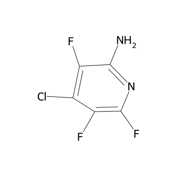 Nc1nc(F)c(F)c(Cl)c1F